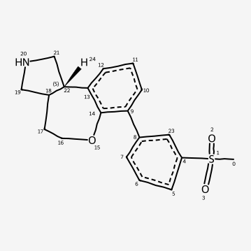 CS(=O)(=O)c1cccc(-c2cccc3c2OCCC2CNC[C@H]32)c1